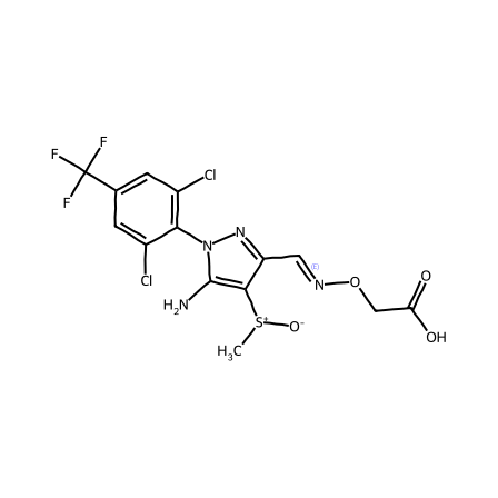 C[S+]([O-])c1c(/C=N/OCC(=O)O)nn(-c2c(Cl)cc(C(F)(F)F)cc2Cl)c1N